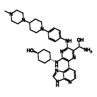 CN1CCN(C2CCN(c3ccc(Nc4nc(N[C@H]5CC[C@H](O)CC5)c(-c5ccnc6[nH]cnc56)nc4C(N)O)cc3)CC2)CC1